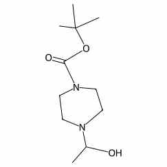 CC(O)N1CCN(C(=O)OC(C)(C)C)CC1